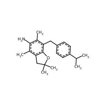 Cc1c(N)c(C)c2c(c1Cc1ccc(C(C)C)cc1)OC(C)(C)C2